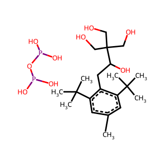 Cc1cc(C(C)(C)C)c(CC(O)C(CO)(CO)CO)c(C(C)(C)C)c1.OP(O)OP(O)O